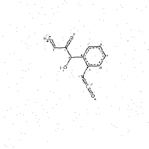 C=CC(=O)C(O)c1ccccc1N=C=O